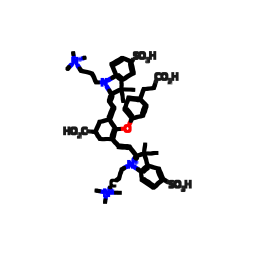 CC1(C)C(/C=C/C2=C(Oc3ccc(CCC(=O)O)cc3)C(=C/C=C3/N(CCC[N+](C)(C)C)c4ccc(S(=O)(=O)O)cc4C3(C)C)/CC(C(=O)O)C2)=[N+](CCC[N+](C)(C)C)c2ccc(S(=O)(=O)O)cc21